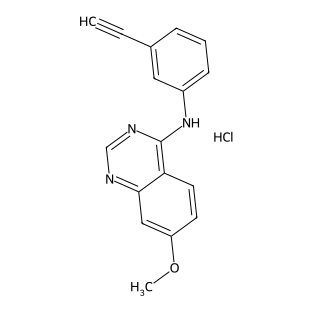 C#Cc1cccc(Nc2ncnc3cc(OC)ccc23)c1.Cl